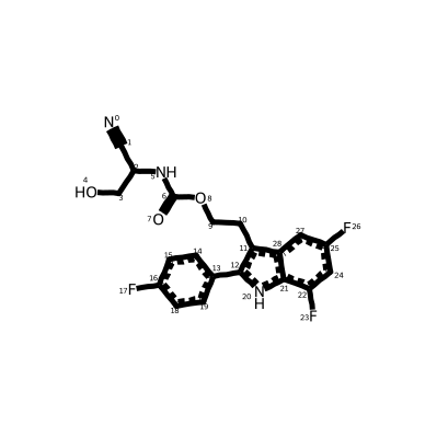 N#CC(CO)NC(=O)OCCc1c(-c2ccc(F)cc2)[nH]c2c(F)cc(F)cc12